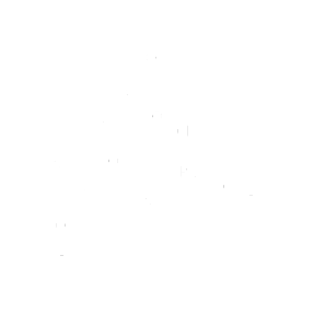 O=S(=O)([O-])OOS(=O)(=O)[O-].[Cl][Ru]([Cl])[Cl].[K+].[K+]